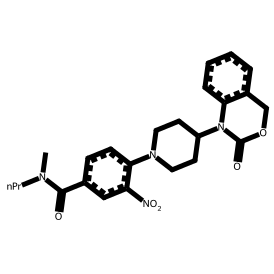 CCCN(C)C(=O)c1ccc(N2CCC(N3C(=O)OCc4ccccc43)CC2)c([N+](=O)[O-])c1